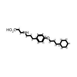 O=C(O)CCNCCCc1ccc(OCCCC2CCCCC2)cc1